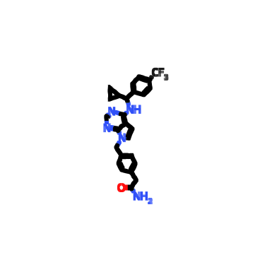 NC(=O)Cc1ccc(Cn2ccc3c(NC(c4ccc(C(F)(F)F)cc4)C4CC4)ncnc32)cc1